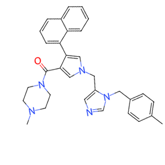 Cc1ccc(Cn2cncc2Cn2cc(C(=O)N3CCN(C)CC3)c(-c3cccc4ccccc34)c2)cc1